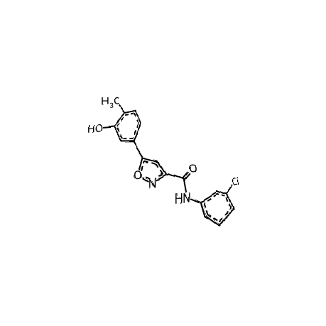 Cc1ccc(-c2cc(C(=O)Nc3cccc(Cl)c3)no2)cc1O